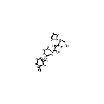 O=C(N[C@@H]1CNCC[C@H]1C1CCCC1)N1CCC[C@@H](Cc2cccc(Cl)c2)C1